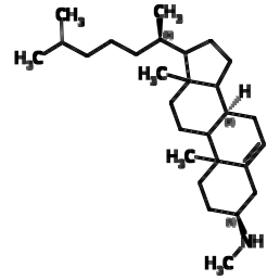 CN[C@H]1CCC2(C)C(=CC[C@H]3C2CCC2(C)C3CCC2[C@H](C)CCCC(C)C)C1